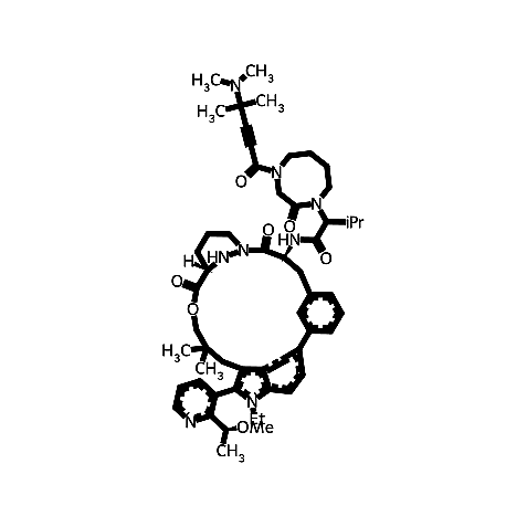 CCn1c(-c2cccnc2[C@H](C)OC)c2c3cc(ccc31)-c1cccc(c1)C[C@H](NC(=O)C(C(C)C)N1CCCCN(C(=O)C#CC(C)(C)N(C)C)CC1=O)C(=O)N1CCC[C@H](N1)C(=O)OCC(C)(C)C2